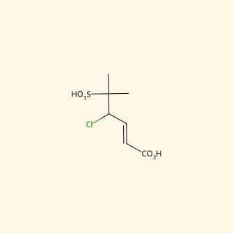 CC(C)(C(Cl)C=CC(=O)O)S(=O)(=O)O